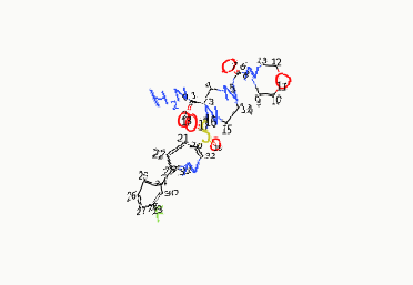 NC(=O)[C@H]1CN(C(=O)N2CCOCC2)CCN1S(=O)(=O)c1ccc(-c2cccc(F)c2)nc1